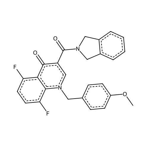 COc1ccc(Cn2cc(C(=O)N3Cc4ccccc4C3)c(=O)c3c(F)ccc(F)c32)cc1